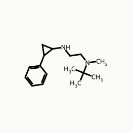 CN(CCNC1CC1c1ccccc1)C(C)(C)C